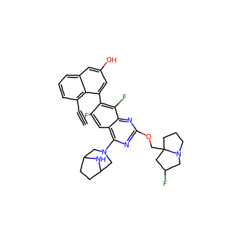 C#Cc1cccc2cc(O)cc(-c3c(F)cc4c(N5CC6CCC(C5)N6)nc(OCC56CCCN5CC(F)C6)nc4c3F)c12